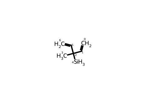 C=CC(C)([SiH3])C=C